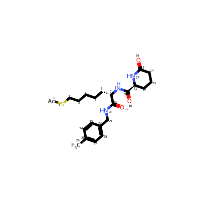 CC(=O)SCCCCC[C@H](NC(=O)[C@@H]1CCCC(=O)N1)C(=O)NCc1ccc(C(F)(F)F)cc1